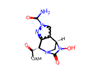 COC(=O)[C@@H]1c2nn(C(N)=O)cc2[C@@H]2CN1C(=O)N2O